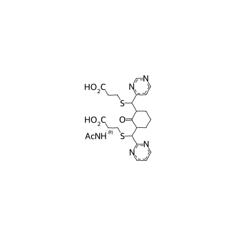 CC(=O)N[C@@H](CSC(c1ncccn1)C1CCCC(C(SCCC(=O)O)c2ccncn2)C1=O)C(=O)O